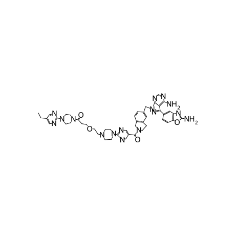 CCc1cnc(N2CCN(C(=O)CCOCCN3CCN(c4ncc(C(=O)N5CCc6cc(Cn7nc(-c8ccc9oc(N)nc9c8)c8c(N)ncnc87)ccc6C5)cn4)CC3)CC2)nc1